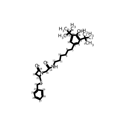 CC(C)(C)c1cc(CCCCCCNC(=O)CN2C(=O)CC2SCc2ccccc2)cc(C(C)(C)C)c1O